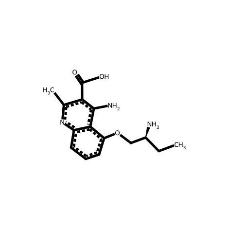 CC[C@H](N)COc1cccc2nc(C)c(C(=O)O)c(N)c12